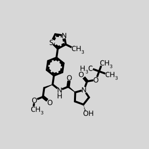 COC(=O)C[C@H](NC(=O)[C@@H]1C[C@@H](O)CN1C(=O)OC(C)(C)C)c1ccc(-c2scnc2C)cc1